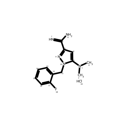 CN(C)c1cc(C(=N)N)nn1Cc1ccccc1F.Cl